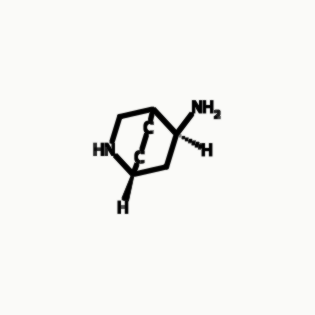 N[C@H]1C[C@H]2CCC1CN2